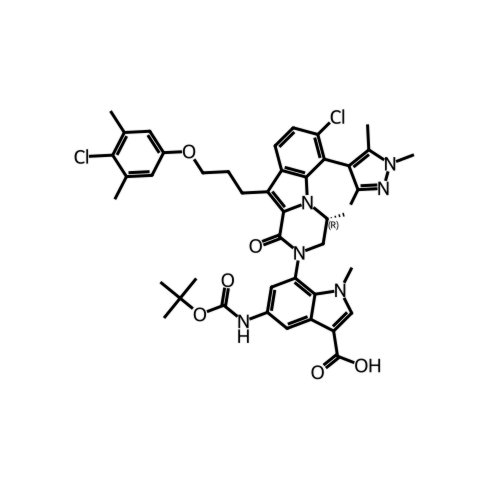 Cc1cc(OCCCc2c3n(c4c(-c5c(C)nn(C)c5C)c(Cl)ccc24)[C@H](C)CN(c2cc(NC(=O)OC(C)(C)C)cc4c(C(=O)O)cn(C)c24)C3=O)cc(C)c1Cl